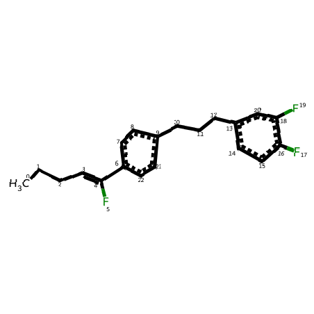 CCCC=C(F)c1ccc(CCCc2ccc(F)c(F)c2)cc1